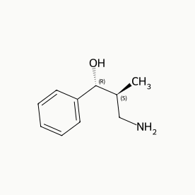 C[C@@H](CN)[C@@H](O)c1ccccc1